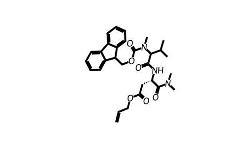 C=CCOC(=O)C[C@H](NC(=O)C(C(C)C)N(C)C(=O)OCC1c2ccccc2-c2ccccc21)C(=O)N(C)C